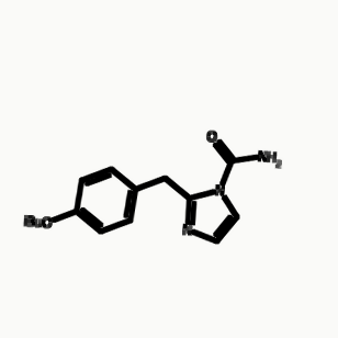 CC(C)COc1ccc(Cc2nccn2C(N)=O)cc1